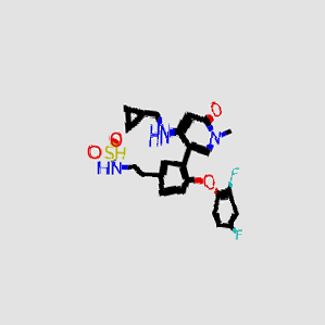 Cn1cc(-c2cc(CCN[SH](=O)=O)ccc2Oc2ccc(F)cc2F)c(NCC2CC2)cc1=O